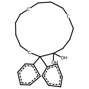 OC1(O)CCCCCCCCCCCCCC1(c1ccccc1)c1ccccc1